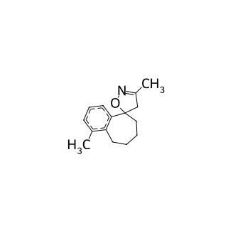 CC1=NOC2(CCCCc3c(C)cccc32)C1